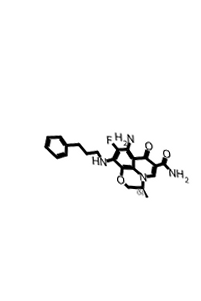 C[C@H]1COc2c(NCCCc3ccccc3)c(F)c(N)c3c(=O)c(C(N)=O)cn1c23